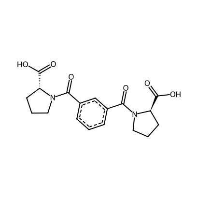 O=C(O)[C@H]1CCCN1C(=O)c1cccc(C(=O)N2CCC[C@@H]2C(=O)O)c1